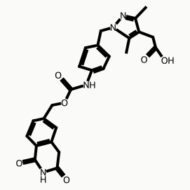 Cc1nn(Cc2ccc(NC(=O)OCc3ccc4c(c3)CC(=O)NC4=O)cc2)c(C)c1CC(=O)O